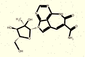 C[C@@]1(O)[C@H](O)[C@@H](CO)O[C@H]1n1cc2c3c(ncnc31)NC(=O)C(C(N)=O)=C2